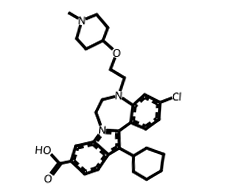 CN1CCC(OCCN2CCn3c(c(C4CCCCC4)c4ccc(C(=O)O)cc43)-c3ccc(Cl)cc32)CC1